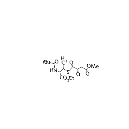 CCOC(=O)C(NC(=O)C(C)CC)C(C)SC(=O)C(=O)CC(=O)OC